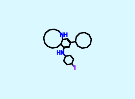 I[C@H]1CC[C@@H](NC2=CC(C3CCCCCCCCC3)=CC3NCCCCCCCCCC23)CC1